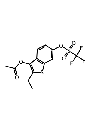 CCc1sc2cc(OS(=O)(=O)C(F)(F)F)ccc2c1OC(C)=O